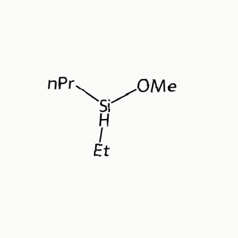 CCC[SiH](CC)OC